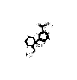 CCC1CCCCC1(O)c1cccc(C(N)=O)c1